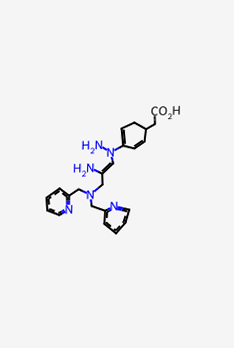 N/C(=C\N(N)C1=CCC(CC(=O)O)C=C1)CN(Cc1ccccn1)Cc1ccccn1